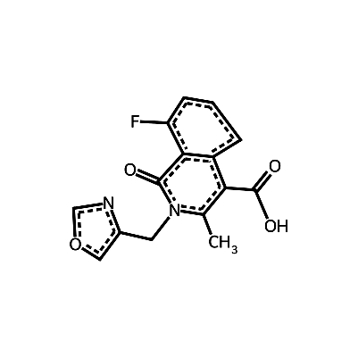 Cc1c(C(=O)O)c2cccc(F)c2c(=O)n1Cc1cocn1